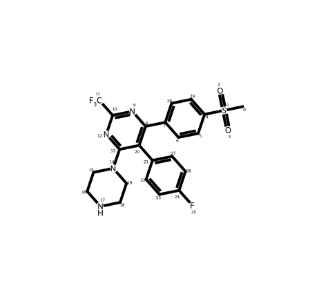 CS(=O)(=O)c1ccc(-c2nc(C(F)(F)F)nc(N3CCNCC3)c2-c2ccc(F)cc2)cc1